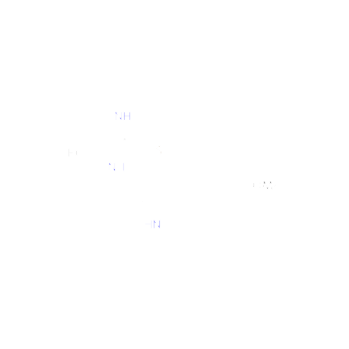 CCNC(=N)Sc1c[nH]c2ccc(OC)cc12